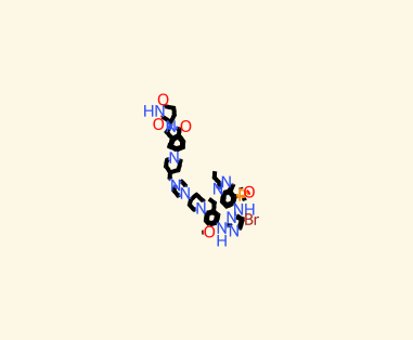 CCc1ncc2c(P(C)(C)=O)c(Nc3nc(Nc4cc(CC)c(N5CCC(N6CCN(CC7CCN(c8ccc9c(c8)CN(C8CCC(=O)NC8=O)C9=O)CC7)CC6)CC5)cc4OC)ncc3Br)ccc2n1